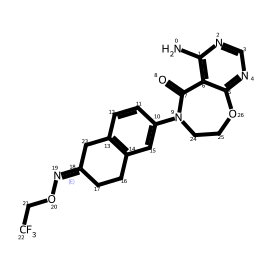 Nc1ncnc2c1C(=O)N(c1ccc3c(c1)CC/C(=N\OCC(F)(F)F)C3)CCO2